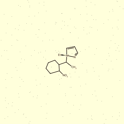 CC[N@@+]1(C(C)C2CCCCC2[N+](=O)[O-])C=CC=N1